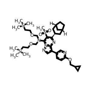 C[Si](C)(C)CCOCN(COCC[Si](C)(C)C)c1c(S(C)(=O)=O)c([C@H]2C[C@@H]3CC[C@@H](C3)C2)nc2c(-c3ccc(OCC4CC4)nc3)cnn12